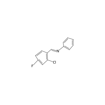 Fc1ccc(/C=N/c2ccccc2)c(Cl)c1